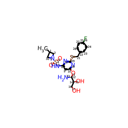 CC1CN(S(=O)(=O)Nc2cc(O[C@H](N)[C@@H](O)CO)nc(SCc3ccc(F)cc3)n2)C1